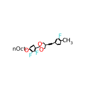 CCCCCCCCOc1ccc(C2OCC(C#Cc3ccc(C)c(F)c3)CO2)c(F)c1F